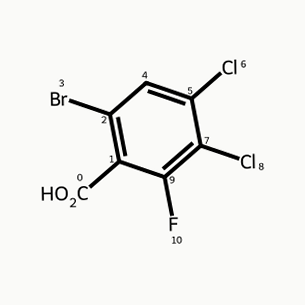 O=C(O)c1c(Br)cc(Cl)c(Cl)c1F